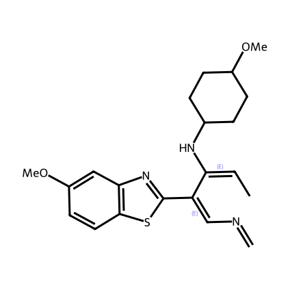 C=N/C=C(\C(=C/C)NC1CCC(OC)CC1)c1nc2cc(OC)ccc2s1